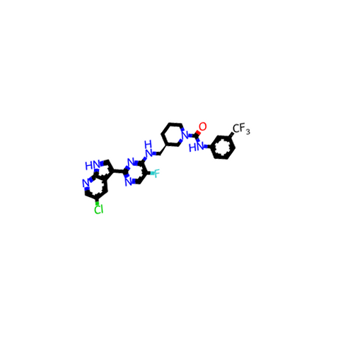 O=C(Nc1cccc(C(F)(F)F)c1)N1CCC[C@H](CNc2nc(-c3c[nH]c4ncc(Cl)cc34)ncc2F)C1